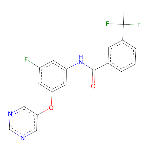 CC(F)(F)c1cccc(C(=O)Nc2cc(F)cc(Oc3cncnc3)c2)c1